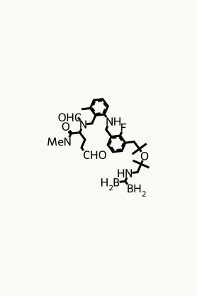 BC(B)NCC(C)(C)OC(C)(C)Cc1cccc(CNc2cccc(C)c2CN(C=O)C(CCC=O)C(=O)NC)c1F